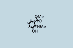 CNc1c(O)cccc1C(=O)OC